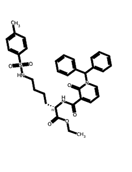 CCOC(=O)[C@H](CCCCNS(=O)(=O)c1ccc(C)cc1)NC(=O)c1cccn(C(c2ccccc2)c2ccccc2)c1=O